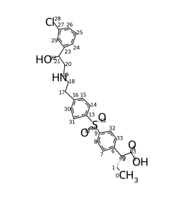 CC[C@@H](C(=O)O)c1ccc(S(=O)(=O)c2ccc(CCNCC(O)c3cccc(Cl)c3)cc2)cc1